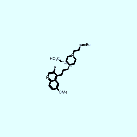 CCCCSCCN1CC[C@@H](CCCc2c(F)cnc3ccc(OC)cc23)[C@H](CC(=O)O)C1